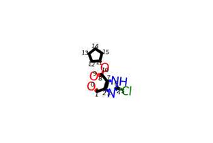 O=Cc1nc(Cl)[nH]c1C(=O)OC1CCCC1